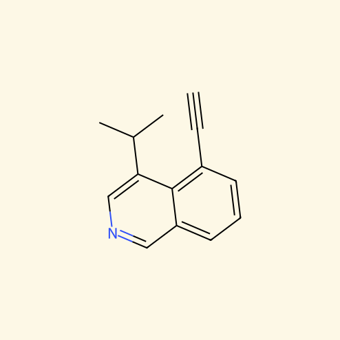 C#Cc1cccc2cncc(C(C)C)c12